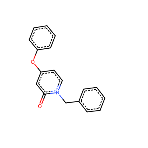 O=c1cc(Oc2ccccc2)ccn1Cc1ccccc1